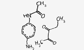 CC(=O)Nc1ccc(N)cc1.CCC(=O)C(C)=O